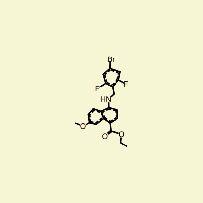 CCOC(=O)c1ccc(NCc2c(F)cc(Br)cc2F)c2ccc(OC)cc12